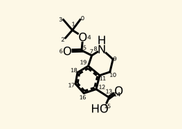 CC(C)(C)OC(=O)C1NCCc2c(C(=O)O)cccc21